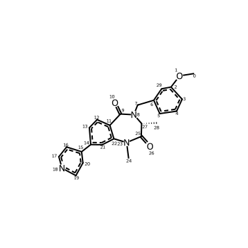 COc1cccc(CN2C(=O)c3ccc(-c4ccncc4)cc3N(C)C(=O)[C@H]2C)c1